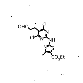 CCOC(=O)c1sc(Nc2nc(Cl)c(CCC=O)c(Cl)n2)nc1C